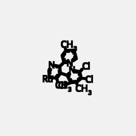 Cc1ccnc(-c2nccc(C)c2-c2nc(Cl)c(Cl)c(C)c2Cl)c1.[Ru]